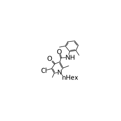 CCCCCCn1c(C)c(Cl)c(=O)c(C(=O)Nc2c(C)cccc2C)c1C